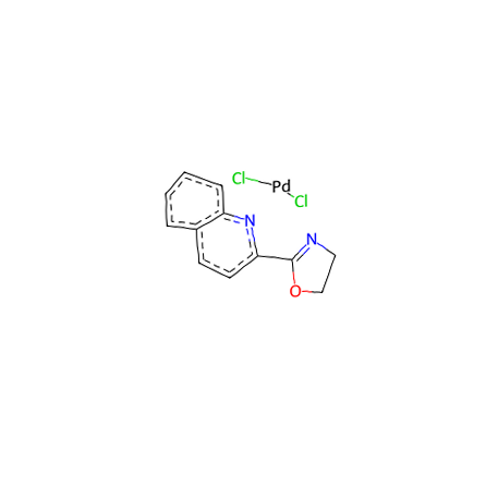 [Cl][Pd][Cl].c1ccc2nc(C3=NCCO3)ccc2c1